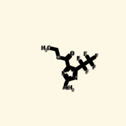 CCOC(=O)c1sc([AsH2])nc1C(F)(F)C(F)(F)F